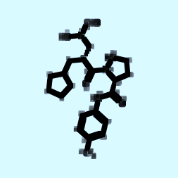 O=CN(O)C[C@@H](CC1CCCC1)C(=O)N1NCC[C@H]1C(=O)Nc1ccc(C(F)(F)F)cc1